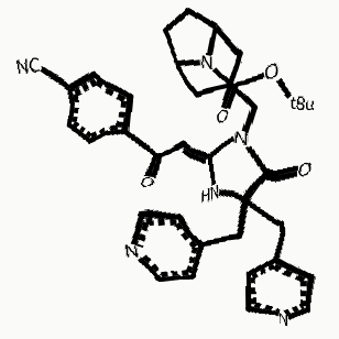 CC(C)(C)OC(=O)N1C2CCC1CC(CN1C(=O)C(Cc3ccncc3)(Cc3ccncc3)NC1=CC(=O)c1ccc(C#N)cc1)C2